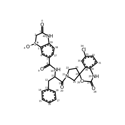 O=C1C[S+]([O-])c2cc(C(=O)NC(Cc3ccccc3)C(=O)N3CCC4(C3)OC(=O)Nc3ccc(Cl)cc34)ccc2N1